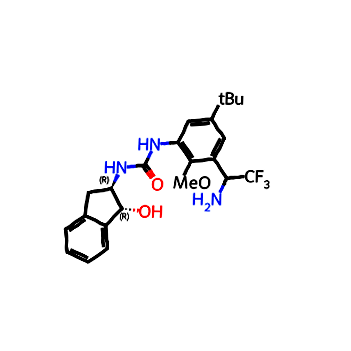 COc1c(NC(=O)N[C@@H]2Cc3ccccc3[C@H]2O)cc(C(C)(C)C)cc1C(N)C(F)(F)F